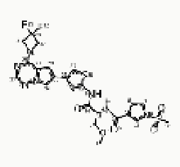 COC[C@H](NC(=O)c1ccn(S(C)(=O)=O)c1)C(=O)Nc1nc(-c2cc3c(N4CC(F)(F)C4)ncnn3c2)cs1